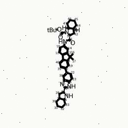 CC(C)(C)OC(=O)N1[C@H](C(=O)Nc2ccc3c(c2)C(C)(C)c2cc(-c4ccc5[nH]c([C@@H]6CC7CCCCC7N6)nc5c4)ccc2-3)C[C@@H]2CCCC[C@@H]21